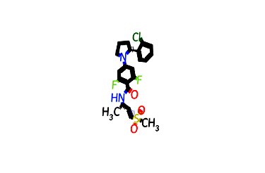 C[C@H](/C=C/S(C)(=O)=O)NC(=O)c1c(F)cc(N2CCC[C@H]2c2ccccc2Cl)cc1F